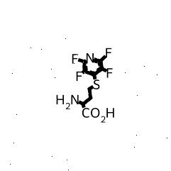 NC(CCSc1c(F)c(F)nc(F)c1F)C(=O)O